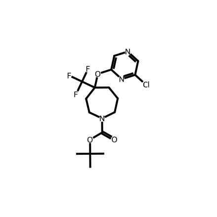 CC(C)(C)OC(=O)N1CCCC(Oc2cncc(Cl)n2)(C(F)(F)F)CC1